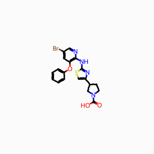 O=C(O)N1CCC(c2csc(Nc3ncc(Br)cc3Oc3ccccc3)n2)C1